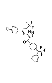 COc1ccc(-c2cc(C(F)(F)F)n3ncc(C(=O)N4CCN(C(c5ccccc5)C(F)(F)F)CC4)c3n2)cc1